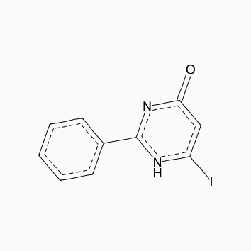 O=c1cc(I)[nH]c(-c2ccccc2)n1